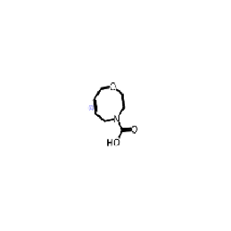 O=C(O)N1C/C=C\COCC1